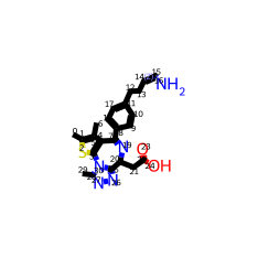 Cc1sc2c(c1C)C(c1ccc(CC/C=C\N)cc1)=NC(CC(=O)O)c1nnc(C)n1-2